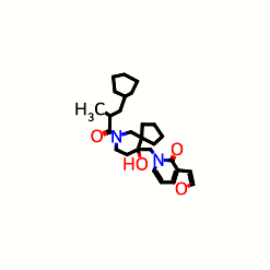 CC(CC1CCCCC1)C(=O)N1CCC(O)(Cn2ccc3occc3c2=O)C2(CCCC2)C1